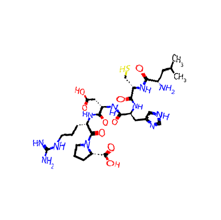 CC(C)C[C@H](N)C(=O)N[C@@H](CS)C(=O)N[C@@H](Cc1c[nH]cn1)C(=O)N[C@@H](CC(=O)O)C(=O)N[C@@H](CCCNC(=N)N)C(=O)N1CCC[C@H]1C(=O)O